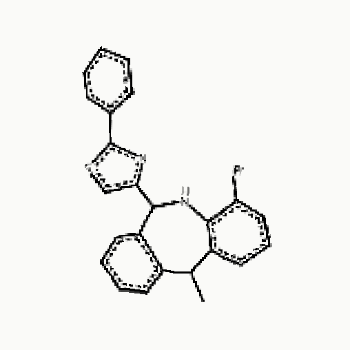 CC(C)c1cccc2c1NC(c1csc(-c3ccccc3)n1)c1ccccc1C2C